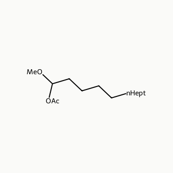 CCCCCCCCCCCC(OC)OC(C)=O